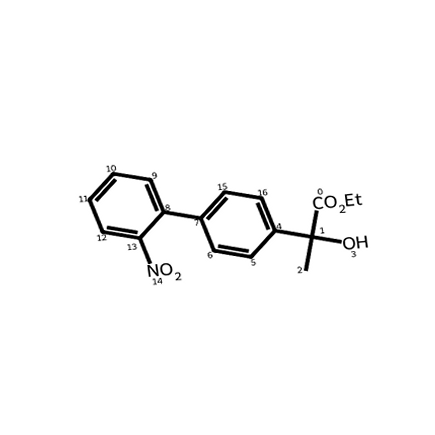 CCOC(=O)C(C)(O)c1ccc(-c2ccccc2[N+](=O)[O-])cc1